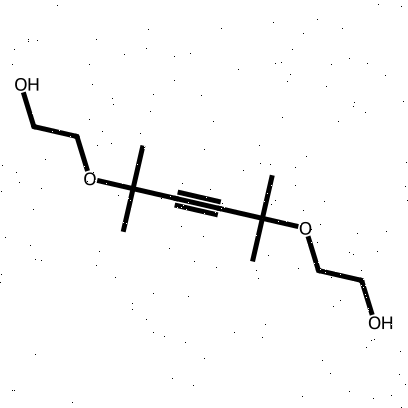 CC(C)(C#CC(C)(C)OCCO)OCCO